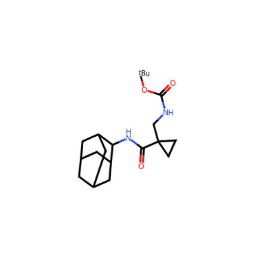 CC(C)(C)OC(=O)NCC1(C(=O)NC2C3CC4CC(C3)CC2C4)CC1